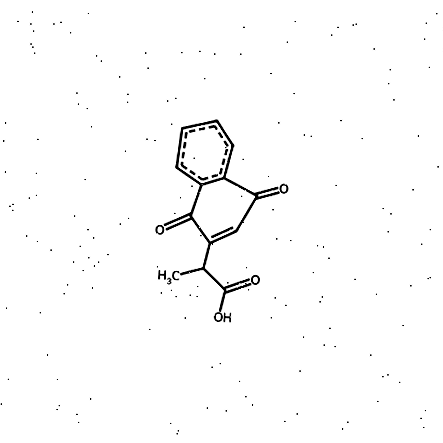 CC(C(=O)O)C1=CC(=O)c2ccccc2C1=O